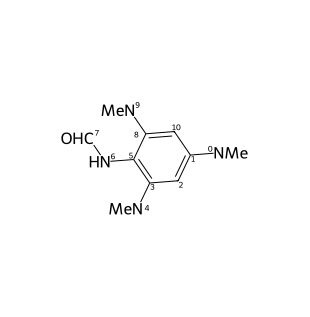 CNc1cc(NC)c(NC=O)c(NC)c1